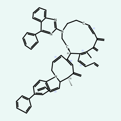 C=C/C=C\C1=C(/C)C(=C)C(=C)/C=C\CCCN(c2nc(-c3ccccc3)c3ccccc3n2)CC[C@@H]1C1=C/C(=C)[C@H](C)C(/C=C\C=C)N(c2ccc(-c3ccccc3)cc2)C/C=C\1